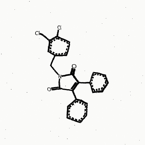 O=C1C(c2ccccc2)=C(c2ccccc2)C(=O)N1Cc1ccc(Cl)c(Cl)c1